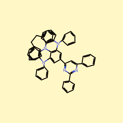 c1ccc(-c2cc(-c3cc(N(c4ccccc4)c4ccccc4)c(N4c5ccccc5CCc5ccccc54)c(N(c4ccccc4)c4ccccc4)c3)nc(-c3ccccc3)n2)cc1